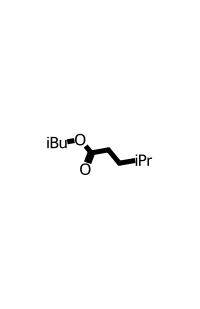 CCC(C)OC(=O)CCC(C)C